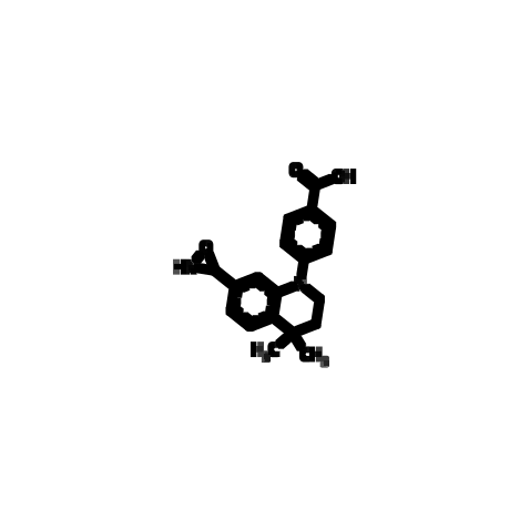 CC1(C)CCN(c2ccc(C(=O)O)cc2)c2cc(C3NO3)ccc21